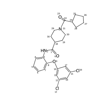 O=C(Nc1ccccc1Oc1cc(Cl)cc(Cl)c1)C1CCN(C(=O)C2CCCC2)CC1